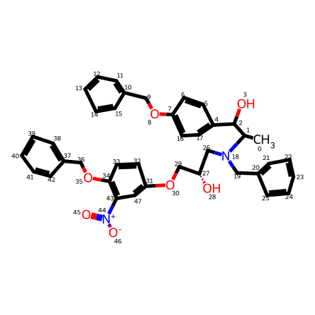 CC(C(O)c1ccc(OCc2ccccc2)cc1)N(Cc1ccccc1)C[C@H](O)COc1ccc(OCc2ccccc2)c([N+](=O)[O-])c1